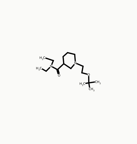 CCN(CC)C(=O)C1CCCN(CCOC(C)(C)C)C1